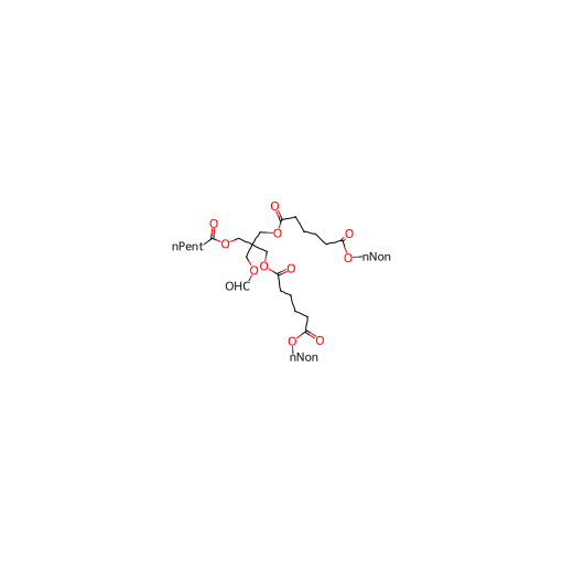 CCCCCCCCCOC(=O)CCCCC(=O)OCC(COC=O)(COC(=O)CCCCC)COC(=O)CCCCC(=O)OCCCCCCCCC